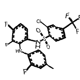 Cc1ccc(Nc2c(NS(=O)(=O)c3ccc(C(F)(F)F)cc3Cl)ccc(F)c2F)c(F)c1